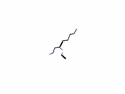 C=CN/C(=C\CCCC)CCN